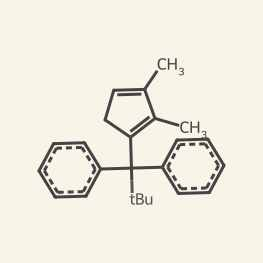 CC1=CCC(C(c2ccccc2)(c2ccccc2)C(C)(C)C)=C1C